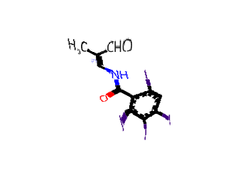 C/C(C=O)=C/NC(=O)c1c(I)cc(I)c(I)c1I